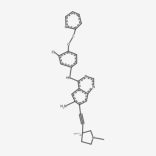 CN1CC[C@@](C)(C#Cc2cc3ncnc(Nc4ccc(OCc5ccccn5)c(Cl)c4)c3cc2N)C1